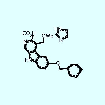 COCc1c(C(=O)O)ncc2[nH]c3ccc(OCc4ccccc4)cc3c12.c1c[nH]cn1